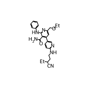 CCOCc1cc(-c2ccc(NCCC(C#N)CC)nc2)c(C(N)=O)c(Nc2ccccc2)n1